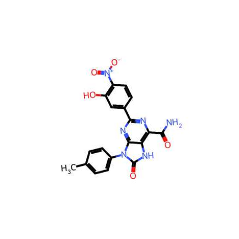 Cc1ccc(-n2c(=O)[nH]c3c(C(N)=O)nc(-c4ccc([N+](=O)[O-])c(O)c4)nc32)cc1